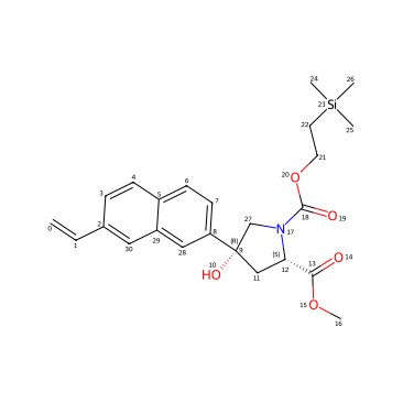 C=Cc1ccc2ccc([C@]3(O)C[C@@H](C(=O)OC)N(C(=O)OCC[Si](C)(C)C)C3)cc2c1